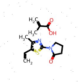 C=C(C)C(=O)O.C=Cc1sc(N2CCCC2=O)nc1C